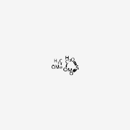 COC.COC.O=S=O